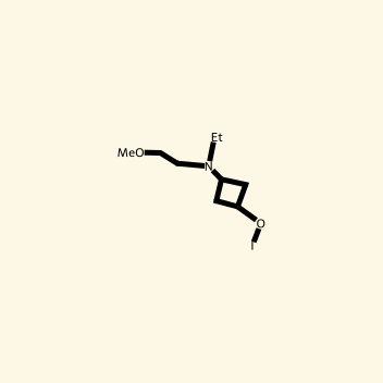 CCN(CCOC)C1CC(OI)C1